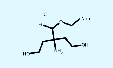 CCCCCCCCCCOC(CC)C(N)(CCO)CCO.Cl